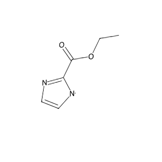 CCOC(=O)C1=NC=C[N]1